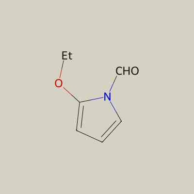 CCOc1cccn1C=O